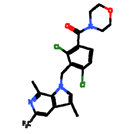 Cc1cn(Cc2c(Cl)ccc(C(=O)N3CCOCC3)c2Cl)c2c(C)nc(C(F)(F)F)cc12